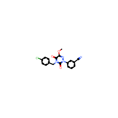 COc1nn(-c2cccc(C#N)c2)c(=O)n(Cc2ccc(Cl)cc2)c1=O